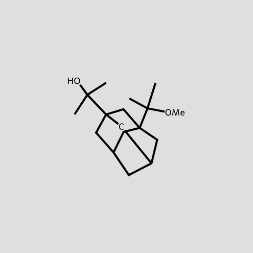 COC(C)(C)C12CC3CC(CC(C(C)(C)O)(C3)C1)C2